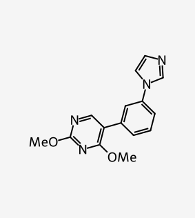 COc1ncc(-c2cccc(-n3ccnc3)c2)c(OC)n1